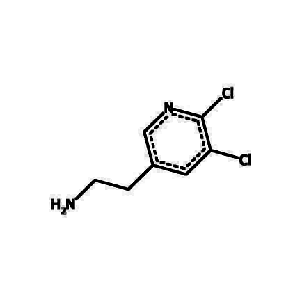 NCCc1cnc(Cl)c(Cl)c1